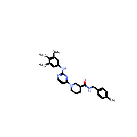 COc1cc(Nc2nccc(N3CCCC(C(=O)NCc4ccc(C#N)cc4)C3)n2)cc(OC)c1OC